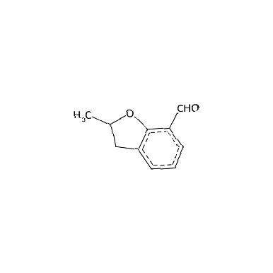 CC1Cc2cccc(C=O)c2O1